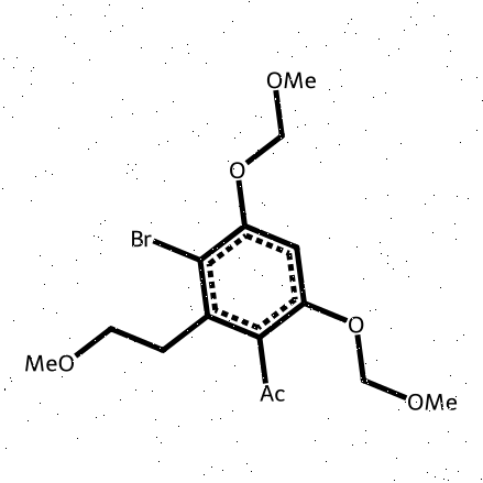 COCCc1c(Br)c(OCOC)cc(OCOC)c1C(C)=O